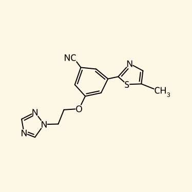 Cc1cnc(-c2cc(C#N)cc(OCCn3cncn3)c2)s1